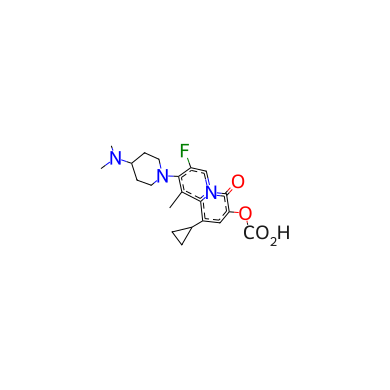 Cc1c(N2CCC(N(C)C)CC2)c(F)cn2c(=O)c(OC(=O)O)cc(C3CC3)c12